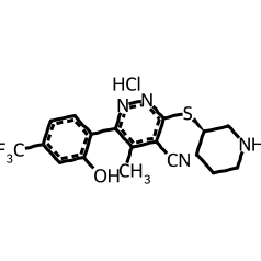 Cc1c(-c2ccc(C(F)(F)F)cc2O)nnc(S[C@@H]2CCCNC2)c1C#N.Cl